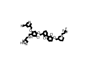 Cc1c(COc2cc(OCc3cncc(C#N)c3)c(CNCc3cn[nH]n3)cc2Cl)cccc1-c1cccc(OCC2CCCN(CCC(F)(F)F)C2)c1Cl